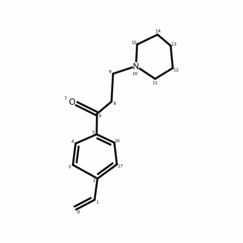 C=Cc1ccc(C(=O)CCN2CCCCC2)cc1